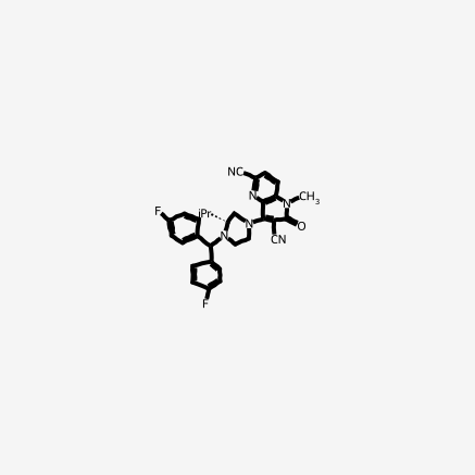 CC(C)[C@@H]1CN(c2c(C#N)c(=O)n(C)c3ccc(C#N)nc23)CCN1C(c1ccc(F)cc1)c1ccc(F)cc1